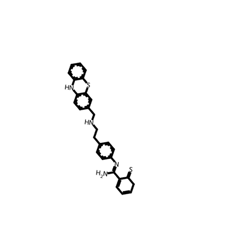 NC(=Nc1ccc(CCNCc2ccc3c(c2)Sc2ccccc2N3)cc1)C1=CC=CCC1=S